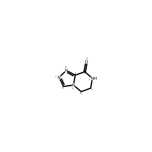 O=C1NCCn2cnnc21